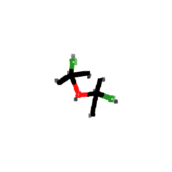 CC(C)(Cl)OC(C)(C)Cl